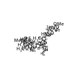 COC(=O)N[C@H](C(=O)N1CCC[C@H]1c1ncc(-c2cc(C)c3c(c2)OC(c2cnc(C4CC4)s2)n2c-3cc3cc(-c4cnc([C@@H]5C[C@@H](C)[C@@H](C)N5C(=O)[C@@H](NC(=O)OC)C(C)(C)F)[nH]4)ccc32)[nH]1)C(C)C